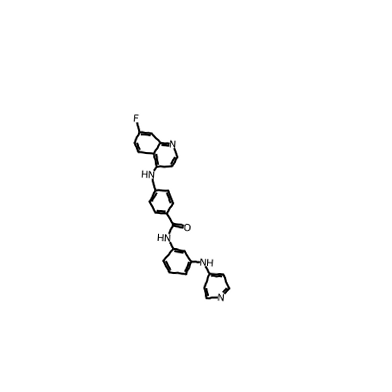 O=C(Nc1cccc(Nc2ccncc2)c1)c1ccc(Nc2ccnc3cc(F)ccc23)cc1